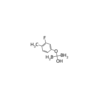 BC(B)(O)Oc1ccc(C)c(F)c1